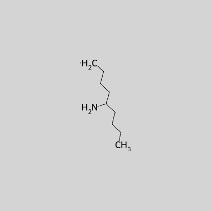 [CH2]CCCC(N)CCCC